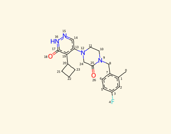 Cc1cc(F)ccc1CN1CCN(c2cn[nH]c(=O)c2C2CCC2)CC1=O